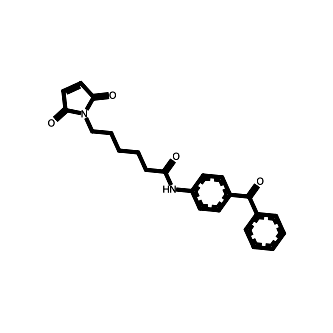 O=C(CCCCCN1C(=O)C=CC1=O)Nc1ccc(C(=O)c2ccccc2)cc1